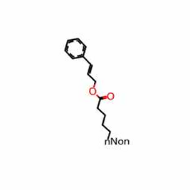 CCCCCCCCCCCCCC(=O)OC/C=C/c1ccccc1